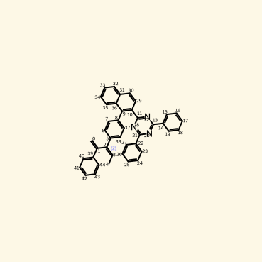 C=C(/C(=C\C)c1ccc(-c2c(-c3nc(-c4ccccc4)nc(-c4ccccc4)n3)ccc3ccccc23)cc1)c1ccccc1